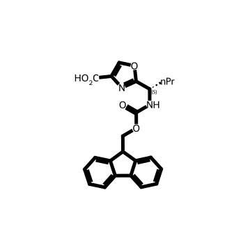 CCC[C@H](NC(=O)OCC1c2ccccc2-c2ccccc21)c1nc(C(=O)O)co1